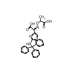 CC(O/N=C(\C(=O)O)c1csc(NC(c2ccccc2)(c2ccccc2)c2ccccc2)n1)C(=O)O